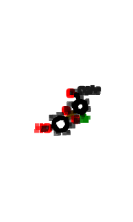 COC(=O)c1ccc(Br)c(S(=O)(=O)C2CCCC(O)CC2)c1